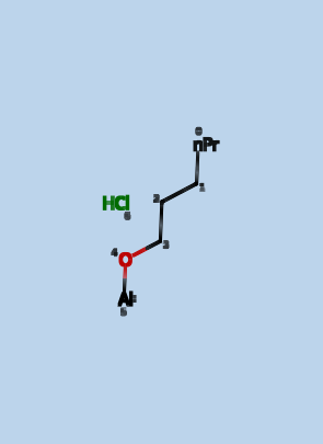 CCCCCC[O][Al].Cl